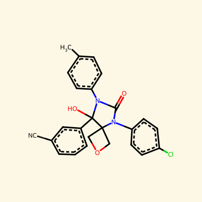 Cc1ccc(N2C(=O)N(c3ccc(Cl)cc3)C3(COC3)C2(O)c2cccc(C#N)c2)cc1